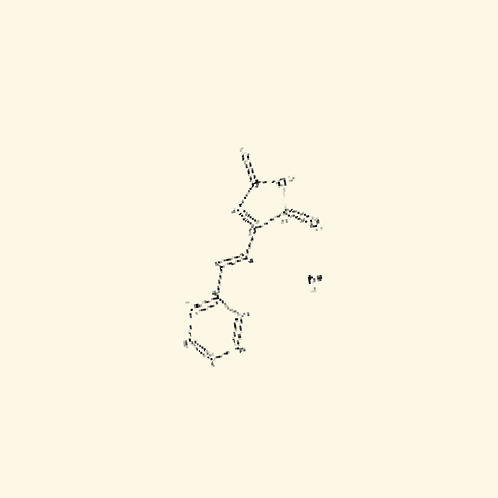 O=C1C=C(C=Cc2ccccc2)C(=O)O1.[Na]